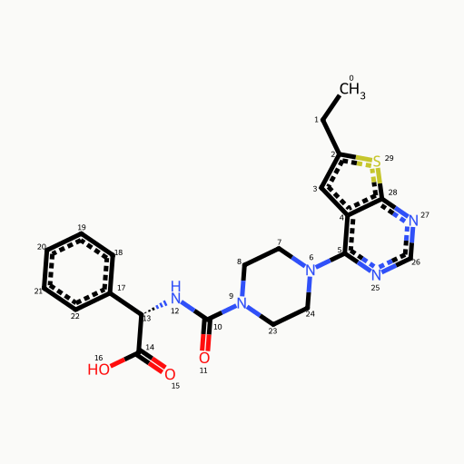 CCc1cc2c(N3CCN(C(=O)N[C@H](C(=O)O)c4ccccc4)CC3)ncnc2s1